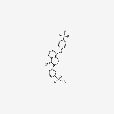 CS(=O)(=O)c1cccc(N2CCc3c(Oc4ccc(C(F)(F)F)cc4)cccc3C2=O)c1